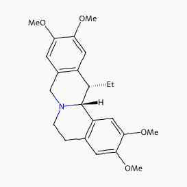 CC[C@H]1c2cc(OC)c(OC)cc2CN2CCc3cc(OC)c(OC)cc3[C@@H]12